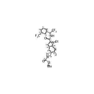 CCn1c(C(=O)NC(c2cccc(C(F)(F)F)c2)C(F)(F)F)cc2cc(CNC(=O)OC(C)(C)C)c(C)nc21